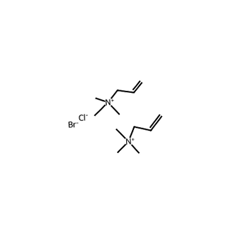 C=CC[N+](C)(C)C.C=CC[N+](C)(C)C.[Br-].[Cl-]